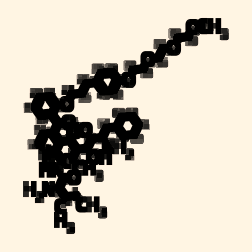 CC[C@@H](C)[C@@H](N)C(=O)NCc1nccc(C(=O)c2ccccc2OCCCc2ccc(OCCOCCOCCOC)cc2)c1C(=O)C(C(C)C)C(O)[C@H](O)C(N)CC1CCCCC1